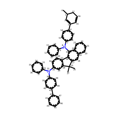 CC1C=C(c2ccc(N(c3ccccc3)c3c4c(cc5ccccc35)C(C)(C)c3cc(N(c5ccccc5)c5ccc(-c6ccccc6)cc5)ccc3-4)cc2)C=CC1